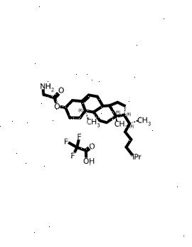 CC(C)CCC[C@@H](C)[C@H]1CCC2C3CC=C4CC(OC(=O)CN)CC[C@]4(C)C3CC[C@@]21C.O=C(O)C(F)(F)F